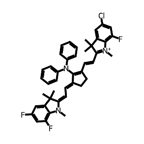 CN1/C(=C/C=C2\CCC(/C=C/C3=[N+](C)c4c(F)cc(Cl)cc4C3(C)C)=C2N(c2ccccc2)c2ccccc2)C(C)(C)c2cc(F)cc(F)c21